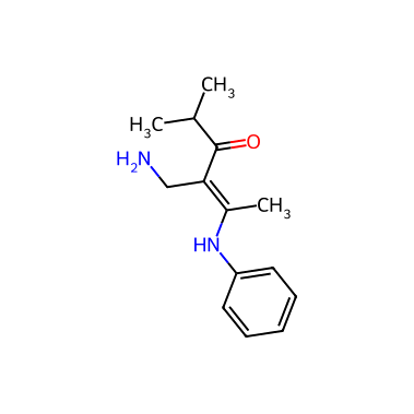 C/C(Nc1ccccc1)=C(/CN)C(=O)C(C)C